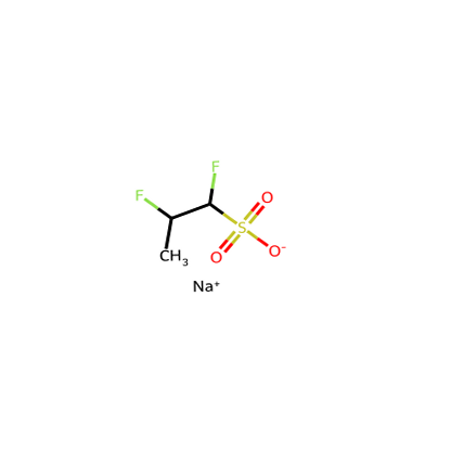 CC(F)C(F)S(=O)(=O)[O-].[Na+]